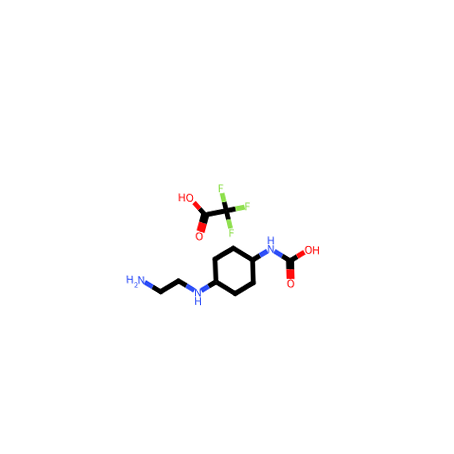 NCCNC1CCC(NC(=O)O)CC1.O=C(O)C(F)(F)F